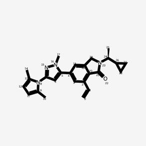 C=Cc1cc(-c2cc(-n3c(C)ccc3C)nn2C)cc2c1C(=O)N([C@@H](C)C1CC1)C2